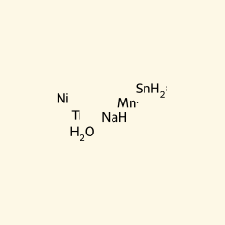 O.[Mn].[NaH].[Ni].[SnH2].[Ti]